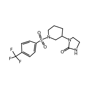 O=C1NCCN1C1CCCN(S(=O)(=O)c2ccc(C(F)(F)F)cc2)C1